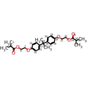 CC(C)C(=O)OCCOc1ccc(C(C)(C)c2ccc(OCCOC(=O)C(C)C)cc2)cc1